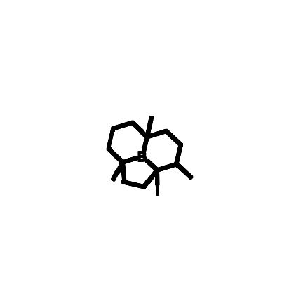 CC1CCC2(C)CCCC3(C)CCC1(I)B23